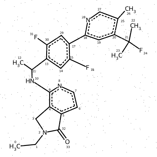 CCN1Cc2c(ccnc2NC(C)c2cc(F)c(-c3cc(C(C)(C)F)c(C)cn3)cc2F)C1=O